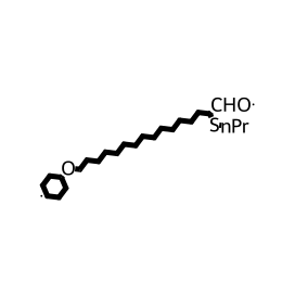 CCCSC([C]=O)CCCCCCCCCCCCCCOC1CC[CH]CC1